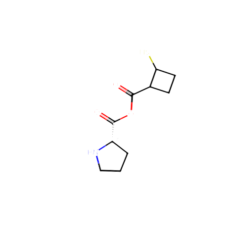 O=C(OC(=O)[C@@H]1CCCN1)C1CCC1S